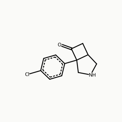 O=C1CC2CNCC12c1ccc(Cl)cc1